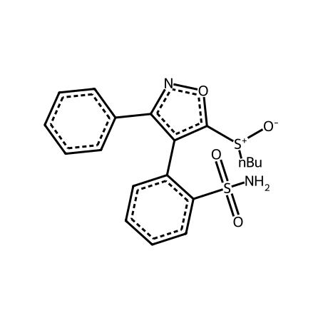 CCCC[S+]([O-])c1onc(-c2ccccc2)c1-c1ccccc1S(N)(=O)=O